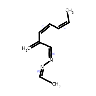 C=C(/C=C\C=C/C)/C=N\N=C/C